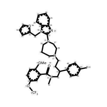 COc1ccc(OC(F)(F)F)cc1C(=O)N(C)CC(CCN1CCCN(c2nc3ccccc3n2Cc2ccco2)CC1)c1ccc(F)cc1